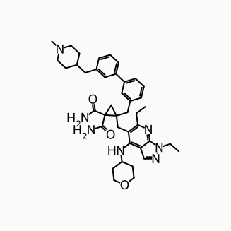 CCc1nc2c(cnn2CC)c(NC2CCOCC2)c1CC1(Cc2cccc(-c3cccc(CC4CCN(C)CC4)c3)c2)CC1(C(N)=O)C(N)=O